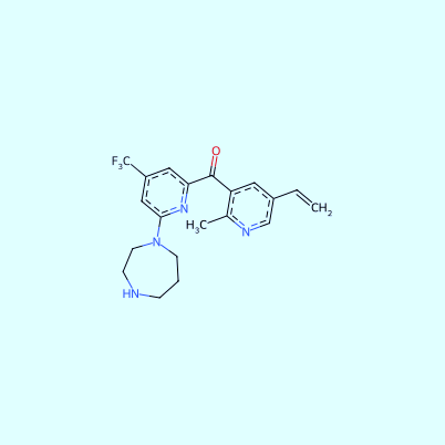 C=Cc1cnc(C)c(C(=O)c2cc(C(F)(F)F)cc(N3CCCNCC3)n2)c1